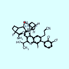 CC(O)c1nc2c(F)c(-c3cccc(Cl)c3Cl)c(CCC#N)cc2c2c1cc([C@H](C)C1CCC1(F)C(N)=O)n2[C@H]1[C@H]2CN[C@@H]1C2